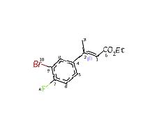 CCOC(=O)/C=C(\C)c1ccc(F)c(Br)c1